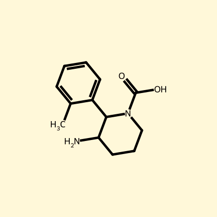 Cc1ccccc1C1C(N)CCCN1C(=O)O